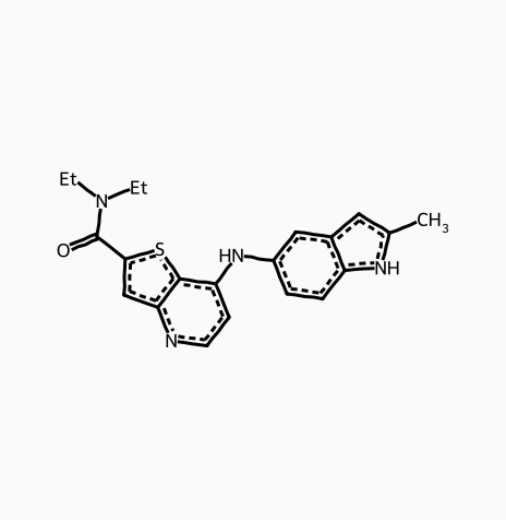 CCN(CC)C(=O)c1cc2nccc(Nc3ccc4[nH]c(C)cc4c3)c2s1